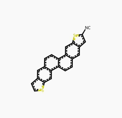 [C-]#[N+]c1cc2cc3ccc4c5cc6sccc6cc5ccc4c3cc2s1